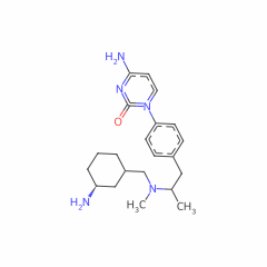 CC(Cc1ccc(-n2ccc(N)nc2=O)cc1)N(C)CC1CCC[C@H](N)C1